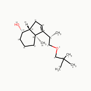 C[C@H](COCC(C)(C)C)C1=CC[C@H]2[C@@H](O)CCC[C@]12C